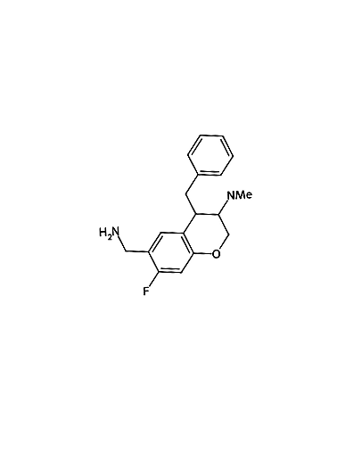 CNC1COc2cc(F)c(CN)cc2C1Cc1ccccc1